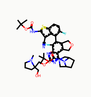 CN1CCCC1(CO)COc1nc(N2C3CCC2CN(C(=O)OC(C)(C)C)C3)c2c3c(c(-c4c(F)ccc5sc(NC(=O)OC(C)(C)C)c(C#N)c45)c(F)c2n1)COC3